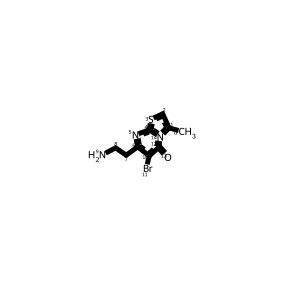 Cc1csc2nc(CCN)c(Br)c(=O)n12